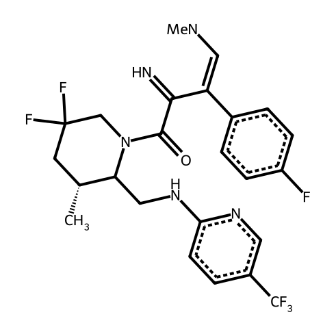 CN/C=C(\C(=N)C(=O)N1CC(F)(F)C[C@@H](C)C1CNc1ccc(C(F)(F)F)cn1)c1ccc(F)cc1